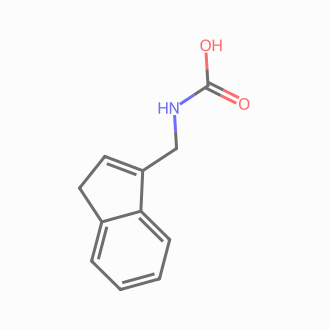 O=C(O)NCC1=CCc2ccccc21